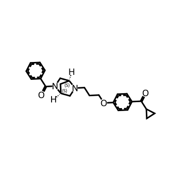 O=C(c1ccc(OCCCN2C[C@@H]3C[C@H]2CN3C(=O)c2ccccc2)cc1)C1CC1